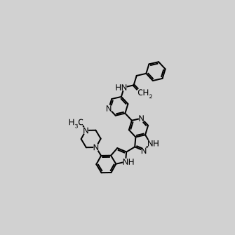 C=C(Cc1ccccc1)Nc1cncc(-c2cc3c(-c4cc5c(N6CCN(C)CC6)cccc5[nH]4)n[nH]c3cn2)c1